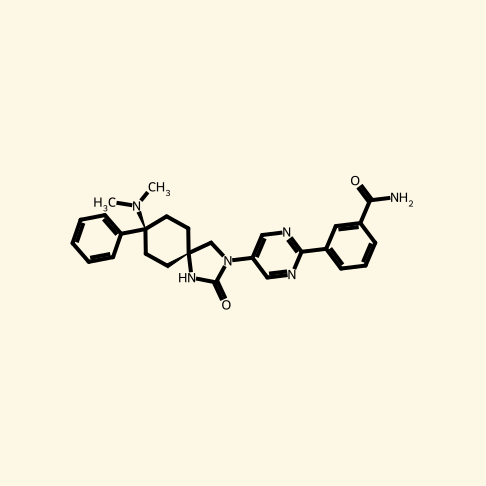 CN(C)[C@]1(c2ccccc2)CC[C@@]2(CC1)CN(c1cnc(-c3cccc(C(N)=O)c3)nc1)C(=O)N2